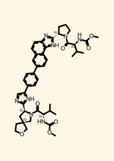 COC(=O)N[C@H](C(=O)N1C[C@@]2(CCOC2)C[C@H]1c1ncc(-c2ccc(-c3ccc4c(ccc5nc([C@@H]6CCCN6C(=O)[C@@H](NC(=O)OC)C(C)C)[nH]c54)c3)cc2)[nH]1)C(C)C